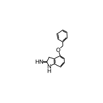 N=C1Cc2c(cccc2OCc2ccccc2)N1